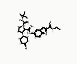 CCOC(=O)c1cc2cc(NC(=O)[C@H]3[C@@H](C4CCC(=O)CC4)CCN3C(=O)OC(C)(C)C)ccc2o1